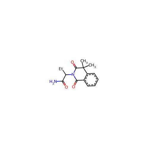 CCC(C(N)=O)N1C(=O)c2ccccc2C(C)(C)C1=O